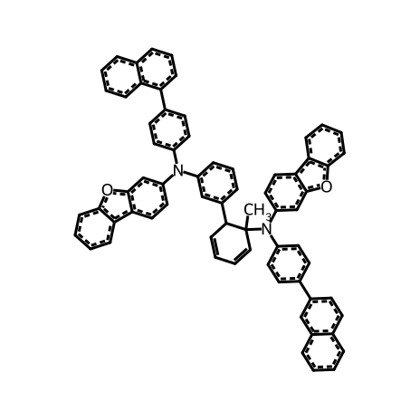 CC1(N(c2ccc(-c3ccc4ccccc4c3)cc2)c2ccc3c(c2)oc2ccccc23)C=CC=CC1c1cccc(N(c2ccc(-c3cccc4ccccc34)cc2)c2ccc3c(c2)oc2ccccc23)c1